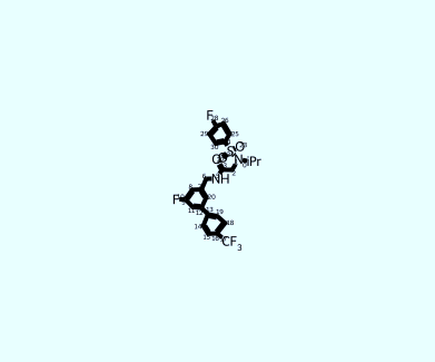 CC(C)N(CC(=O)NCc1cc(F)cc(-c2ccc(C(F)(F)F)cc2)c1)S(=O)(=O)c1ccc(F)cc1